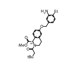 CCc1ccc(COc2ccc3c(c2)CCN(C(=O)CC(C)(C)C)[C@H]3C(=O)OC)cc1N